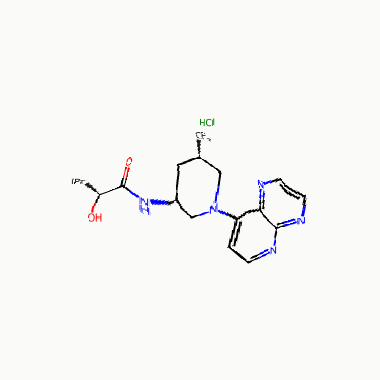 CC(C)[C@H](O)C(=O)N[C@H]1C[C@@H](C(F)(F)F)CN(c2ccnc3nccnc23)C1.Cl